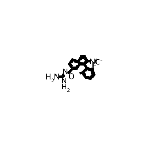 [C-]#[N+]c1ccc2ccc(C(=O)N=C(N)N)cc2c1-c1c(C)cccc1F